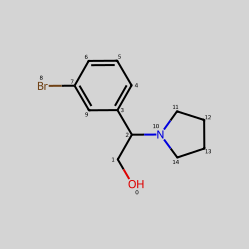 OCC(c1cccc(Br)c1)N1CCCC1